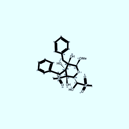 CO[C@H]1O[C@H](C(O)S(C)(=O)=O)[C@](O)(S(C)(=O)=O)[C@@](O)(Cc2ccccc2)[C@]1(O)Cc1ccccc1